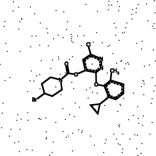 Cc1cccc(C2CC2)c1Oc1nnc(Cl)cc1OC(=O)N1CCC(Br)CC1